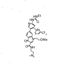 CCNC(=O)Nc1cc(-c2nc(C(F)(F)F)cs2)c(-c2ccc3c(=O)c(C(=O)NCCN(C)C)cn(CCOC)c3c2)cn1